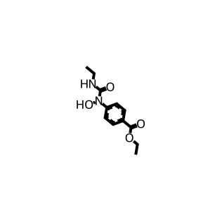 CCNC(=O)N(O)c1ccc(C(=O)OCC)cc1